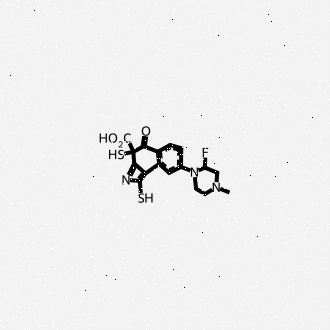 CN1CCN(c2ccc3c(c2)C2=C(S)N=C2C(S)(C(=O)O)C3=O)C(F)C1